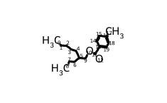 CCCCCC(CCC)COC(=O)c1ccc(C)cc1